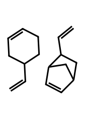 C=CC1CC2C=CC1C2.C=CC1CC=CCC1